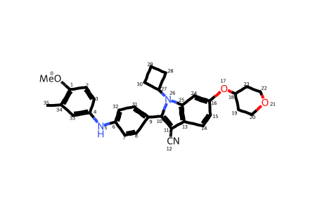 COc1ccc(Nc2ccc(-c3c(C#N)c4ccc(OC5CCOCC5)cc4n3C3CCC3)cc2)cc1C